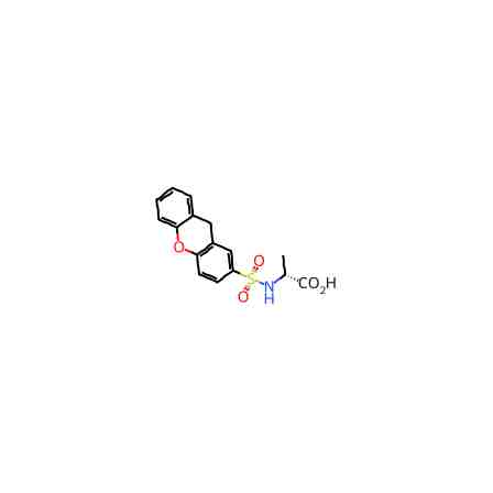 C[C@@H](NS(=O)(=O)c1ccc2c(c1)Cc1ccccc1O2)C(=O)O